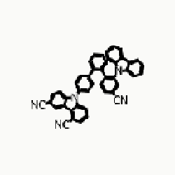 N#Cc1ccc(-c2ccccc2-c2ccc(-n3c4ccc(C#N)cc4c4c(C#N)cccc43)cc2)c(-n2c3ccccc3c3ccccc32)c1